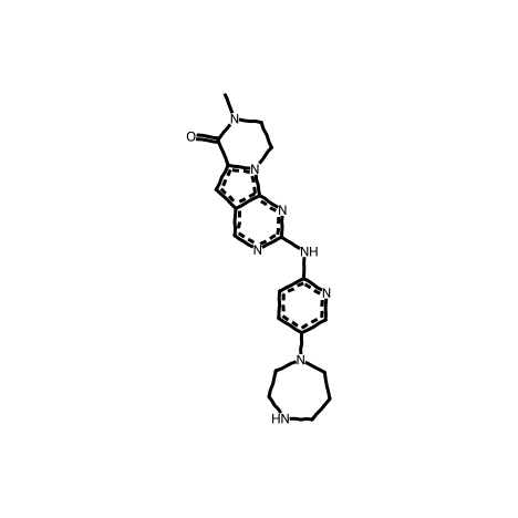 CN1CCn2c(cc3cnc(Nc4ccc(N5CCCNCC5)cn4)nc32)C1=O